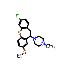 CCSc1ccc2c(c1)C(N1CCN(C)CC1)Cc1ccc(F)cc1S2